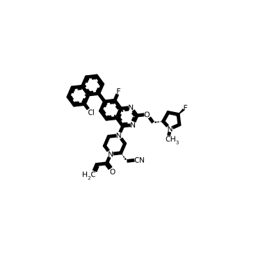 C=CC(=O)N1CCN(c2nc(OC[C@@H]3C[C@@H](F)CN3C)nc3c(F)c(-c4cccc5cccc(Cl)c45)ccc23)C[C@@H]1CC#N